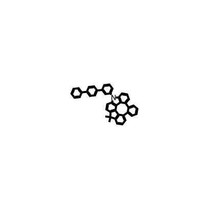 CC1(C)c2cccc3c4ccccc4c4cccc5c4c4c(c1ccc4n5-c1cccc(-c4ccc(-c5ccccc5)cc4)c1)c23